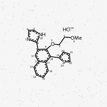 COCCOc1c(-c2ncc[nH]2)cc2ccccc2c1-c1cccs1.Cl